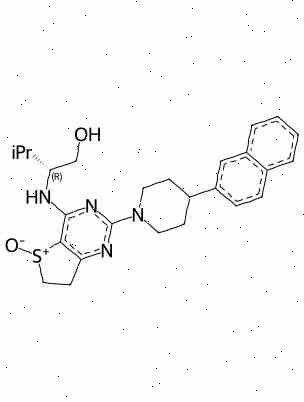 CC(C)[C@H](CO)Nc1nc(N2CCC(c3ccc4ccccc4c3)CC2)nc2c1[S+]([O-])CC2